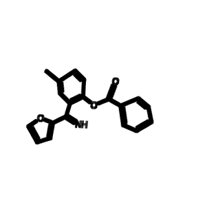 Cc1ccc(OC(=O)c2ccccc2)c(C(=N)c2ccco2)c1